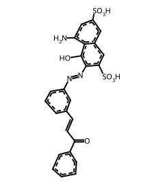 Nc1cc(S(=O)(=O)O)cc2cc(S(=O)(=O)O)c(N=Nc3cccc(/C=C/C(=O)c4ccccc4)c3)c(O)c12